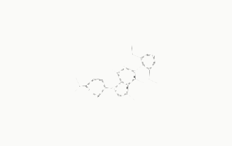 CCc1cccc(CC)c1-c1nc(Cl)c2c(c(C)cn2-c2ccc(C(C)C)cc2)c1C